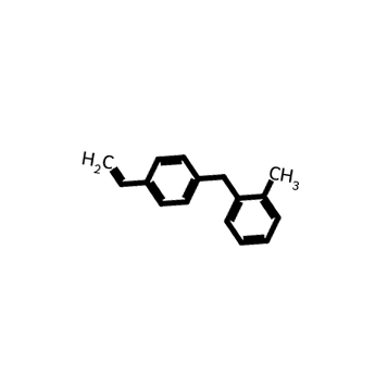 C=Cc1ccc(Cc2ccccc2C)cc1